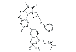 CC(C)NCCOc1ncc(-c2cc3c4c(cnc3cc2F)N(C)C(=O)C42CC(COc3ccccc3)C2)cc1CS(N)(=O)=O